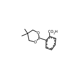 CC1(C)COB(c2ccccc2C(=O)O)OC1